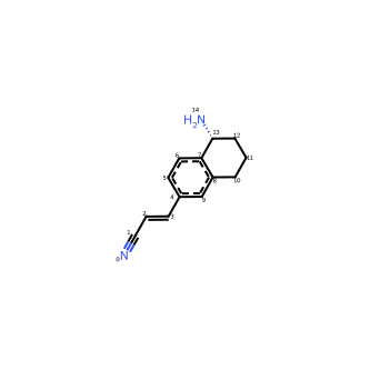 N#CC=Cc1ccc2c(c1)CCC[C@H]2N